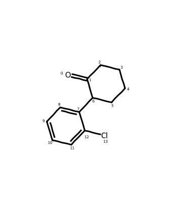 O=C1[CH]CCCC1c1ccccc1Cl